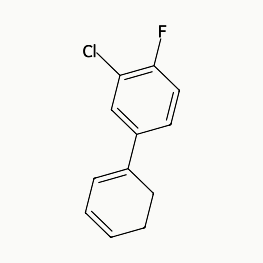 Fc1ccc(C2=CC=CCC2)cc1Cl